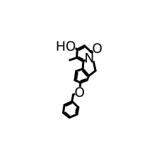 Cc1c(O)cc(=O)n2c1-c1ccc(OCc3ccccc3)cc1CC2